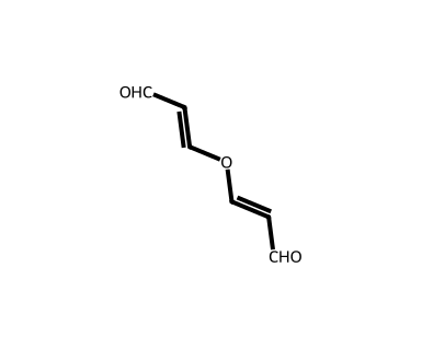 O=CC=COC=CC=O